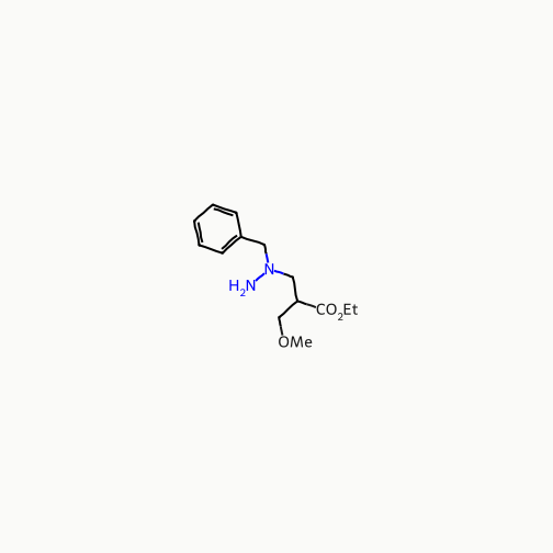 CCOC(=O)C(COC)CN(N)Cc1ccccc1